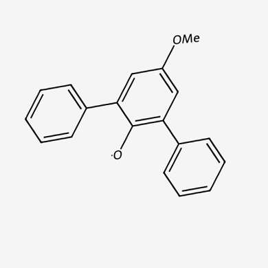 COc1cc(-c2ccccc2)c([O])c(-c2ccccc2)c1